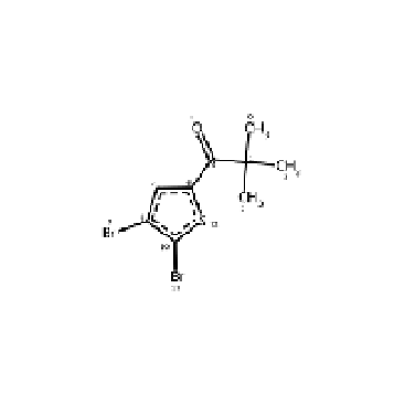 CC(C)(C)C(=O)c1cc(Br)c(Br)s1